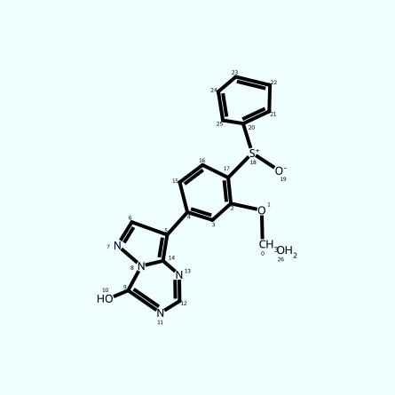 COc1cc(-c2cnn3c(O)ncnc23)ccc1[S+]([O-])c1ccccc1.O